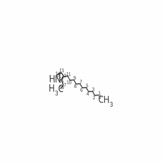 CCCCCCCCCCCCc1cc[nH]c1CC